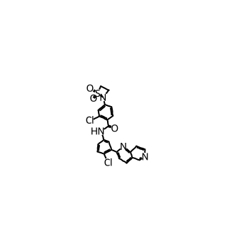 O=C(Nc1ccc(Cl)c(-c2ccc3cnccc3n2)c1)c1ccc(N2CCS2(=O)=O)cc1Cl